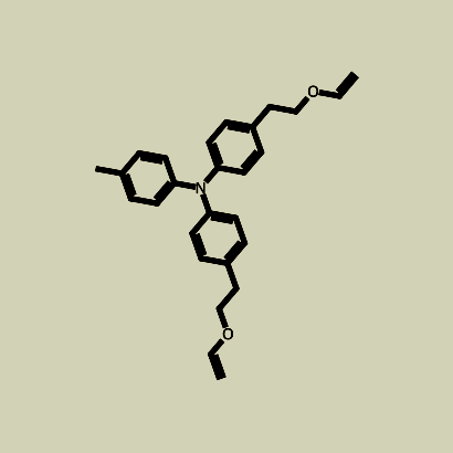 C=COCCc1ccc(N(c2ccc(C)cc2)c2ccc(CCOC=C)cc2)cc1